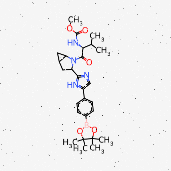 COC(=O)N[C@H](C(=O)N1C(c2ncc(-c3ccc(B4OC(C)(C)C(C)(C)O4)cc3)[nH]2)CC2CC21)C(C)C